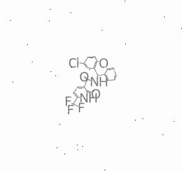 O=C(NC1c2ccccc2Oc2ccc(Cl)cc21)c1ccc(C(F)(F)F)[nH]c1=O